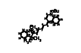 CCCCN1C=C\C(=C/C=C/C=C/C2=[N+](C)c3ccccc3C2(C)C)c2ccccc21